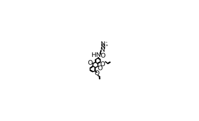 C=CCOc1cccc2c1C(=O)c1c(OCC=C)cc(NC(=O)CN=[N+]=[N-])cc1C2=O